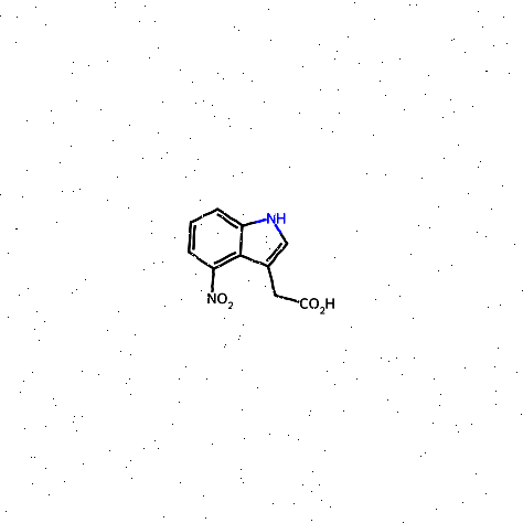 O=C(O)Cc1c[nH]c2cccc([N+](=O)[O-])c12